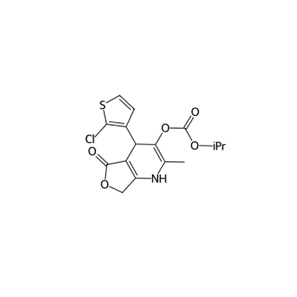 CC1=C(OC(=O)OC(C)C)C(c2ccsc2Cl)C2=C(COC2=O)N1